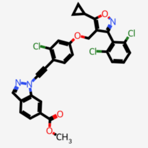 COC(=O)c1ccc2cnn(C#Cc3ccc(OCc4c(-c5c(Cl)cccc5Cl)noc4C4CC4)cc3Cl)c2c1